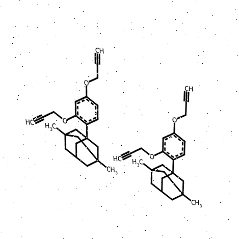 C#CCOc1ccc(C23CC4CC(C)(CC(C)(C4)C2)C3)c(OCC#C)c1.C#CCOc1ccc(C23CC4CC(C)(CC(C)(C4)C2)C3)c(OCC#C)c1